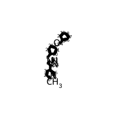 Cc1ccc(C2CN(Cc3ccc(OCc4ccccc4)cc3)N=N2)cn1